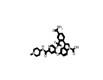 CN1CCC(NC(=O)c2cc(Oc3ccc4c(c3)C(c3ccc(C(N)=O)cc3C(F)(F)F)CN4C(=O)O)ccn2)CC1